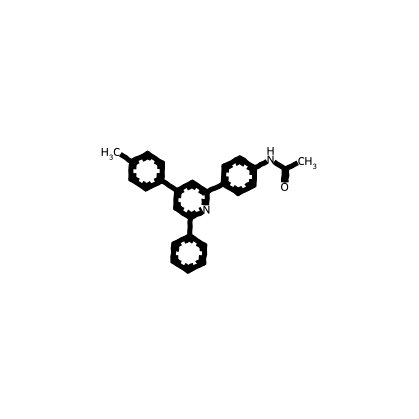 CC(=O)Nc1ccc(-c2cc(-c3ccc(C)cc3)cc(-c3ccccc3)n2)cc1